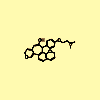 CN(C)CCOc1ccc(C2C(O)=CC3=CCOC=C3c3ccc4c(c32)OCC=C4)cc1